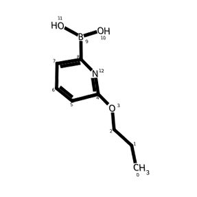 CCCOc1cccc(B(O)O)n1